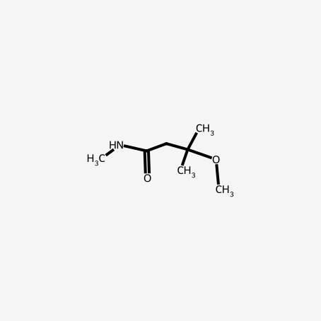 CNC(=O)CC(C)(C)OC